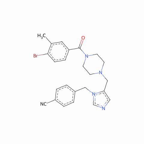 Cc1cc(C(=O)N2CCN(Cc3cncn3Cc3ccc(C#N)cc3)CC2)ccc1Br